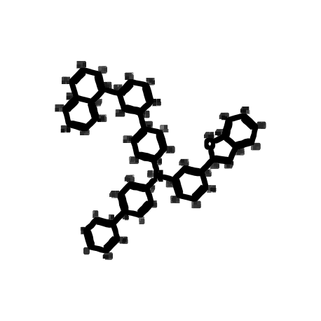 c1ccc(-c2ccc(N(c3ccc(-c4cccc(-c5cccc6ccccc56)c4)cc3)c3cccc(-c4cc5ccccc5o4)c3)cc2)cc1